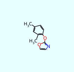 Cc1ccc(Oc2n[c]co2)c(C)c1